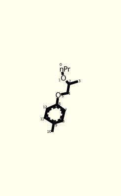 C[CH]COC(C)COc1ccc(C)cc1